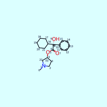 CN1CC[C@H](OC(=O)[C@](O)(c2ccccc2)C2CCCCC2)C1